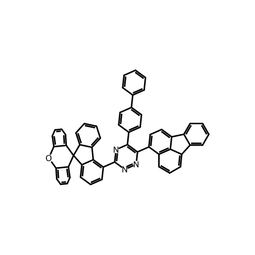 c1ccc(-c2ccc(-c3nc(-c4cccc5c4-c4ccccc4C54c5ccccc5Oc5ccccc54)nnc3-c3ccc4c5c(cccc35)-c3ccccc3-4)cc2)cc1